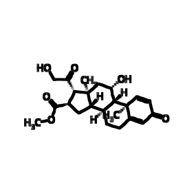 COC(=O)[C@@H]1C[C@H]2[C@@H]3CCC4=CC(=O)C=C[C@]4(C)[C@H]3[C@@H](O)C[C@]2(C)[C@H]1C(=O)CO